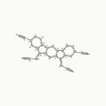 N#C/N=c1\c2cc(C#N)ccc2c2cc3c(cc12)/c(=N/C#N)c1cc(C#N)ccc13